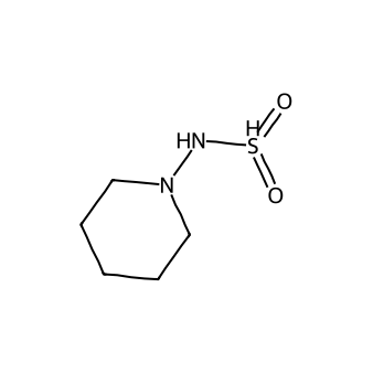 O=[SH](=O)NN1CCCCC1